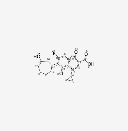 O=C(O)c1cn(C2CC2)c2c(Cl)c(C3CCCCC(O)C3)c(F)cc2c1=O